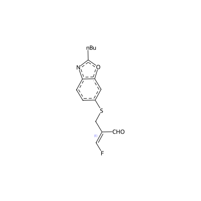 CCCCc1nc2ccc(SC/C(C=O)=C/F)cc2o1